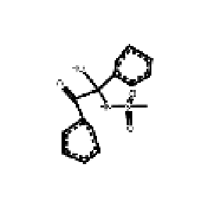 CS(=O)(=O)NC(O)(C(=O)c1ccccc1)c1ccccc1